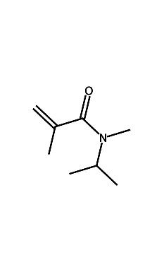 C=C(C)C(=O)N(C)C(C)C